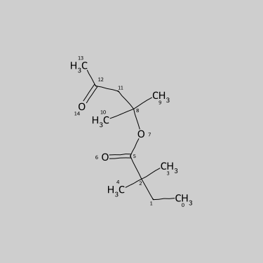 CCC(C)(C)C(=O)OC(C)(C)CC(C)=O